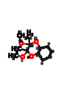 COC1(C)Oc2ccccc2OC1(C)OC